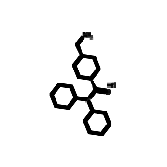 Cl.NC[C@H]1CC[C@H](C(=O)N(C2CCCCC2)C2CCCCC2)CC1